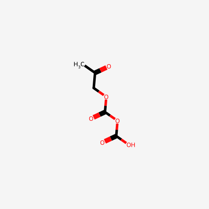 CC(=O)COC(=O)OC(=O)O